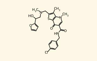 Cc1c(CN(C)CC(O)c2ccco2)sc2c(=O)c(C(=O)NCc3ccc(Cl)cc3)cn(C)c12